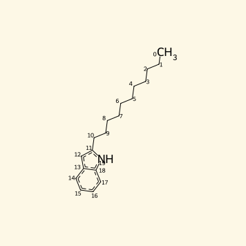 CCCCCCCCCCCc1cc2ccccc2[nH]1